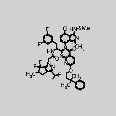 CSNc1nn(C)c2c(-n3c(C(Cc4cc(F)cc(F)c4)NC(=O)Cn4nc(C(F)F)c5c4C(F)(F)C(C)C5)nc4nc(OCCC(C)(C)c5ccccc5)ccc4c3=O)ccc(Cl)c12